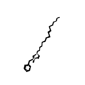 CCCCCCCCCCCCCCCCN1C=C[N+](C)(Cc2ccccc2)C1